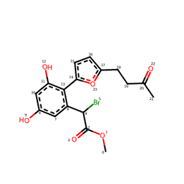 COC(=O)C(Br)c1cc(O)cc(O)c1-c1ccc(CCC(C)=O)o1